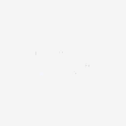 CCOC(=O)/C=C\I